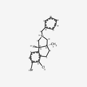 C[C@]12CCc3c(ccc(Br)c3Cl)[C@@H]1CN(Cc1ccccc1)C2